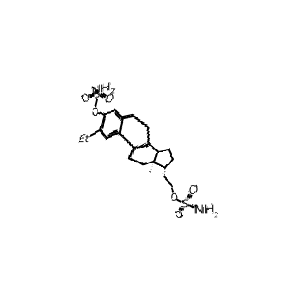 CCc1cc2c(cc1OS(N)(=O)=O)CCC1C2CC[C@@]2(C)C1CC[C@@H]2CCOS(N)(=O)=O